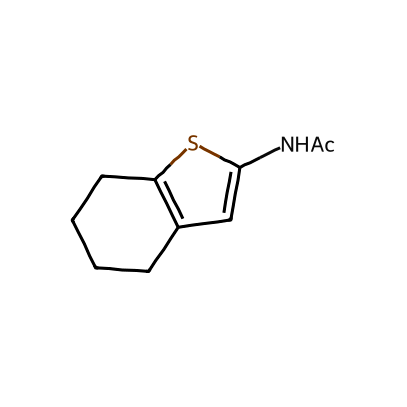 CC(=O)Nc1cc2c(s1)CCCC2